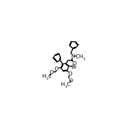 COCOc1cc(OCOC)c(-c2ccccc2)c(CC(=O)N(C)Cc2ccccc2)c1Br